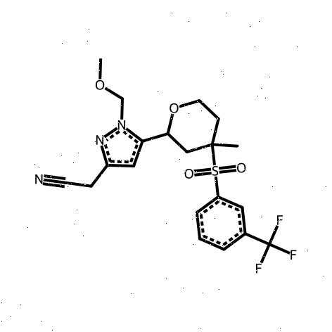 COCn1nc(CC#N)cc1C1CC(C)(S(=O)(=O)c2cccc(C(F)(F)F)c2)CCO1